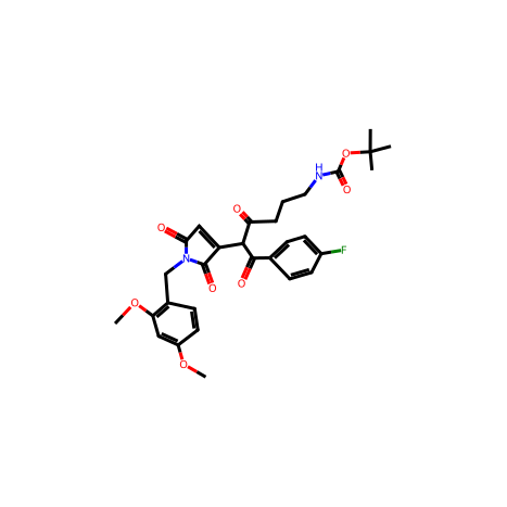 COc1ccc(CN2C(=O)C=C(C(C(=O)CCCNC(=O)OC(C)(C)C)C(=O)c3ccc(F)cc3)C2=O)c(OC)c1